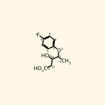 CC(Oc1ccc(F)cc1)C(O)CC(=O)O